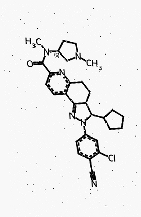 CN1CC[C@H](N(C)C(=O)c2ccc3c(n2)CCC2C3=NN(c3ccc(C#N)c(Cl)c3)C2C2CCCC2)C1